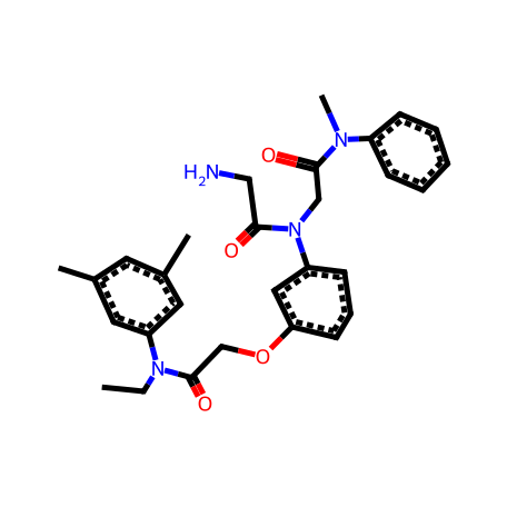 CCN(C(=O)COc1cccc(N(CC(=O)N(C)c2ccccc2)C(=O)CN)c1)c1cc(C)cc(C)c1